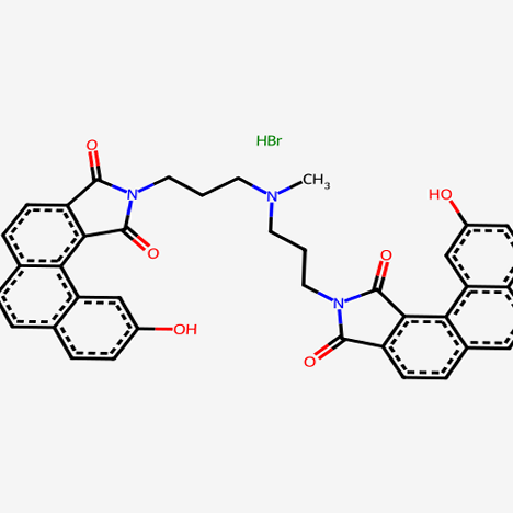 Br.CN(CCCN1C(=O)c2ccc3ccc4ccc(O)cc4c3c2C1=O)CCCN1C(=O)c2ccc3ccc4ccc(O)cc4c3c2C1=O